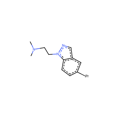 CC(C)c1ccc2c(cnn2CCN(C)C)c1